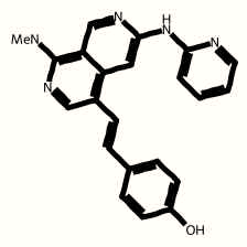 CNc1ncc(/C=C/c2ccc(O)cc2)c2cc(Nc3ccccn3)ncc12